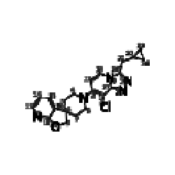 Clc1c(N2CCC3(CC2)COc2ncccc23)ccn2c(CC3CC3)nnc12